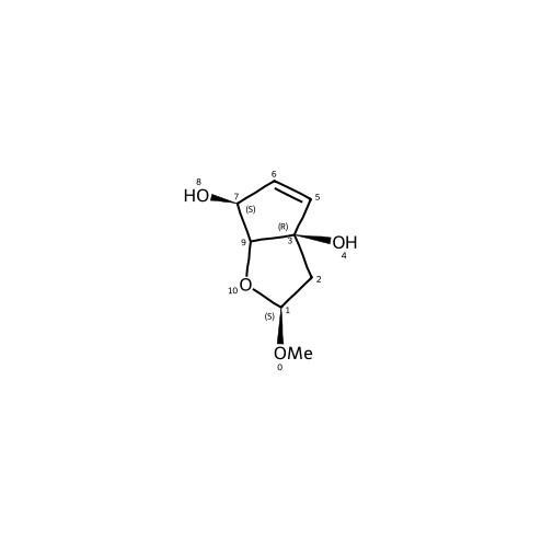 CO[C@@H]1C[C@@]2(O)C=C[C@H](O)C2O1